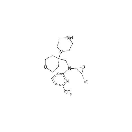 CCC1OC1N(CC1(N2CCNCC2)CCOCC1)c1cccc(C(F)(F)F)n1